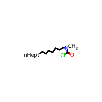 CCCCCCCCCCCCCCN(C)C(=O)Cl